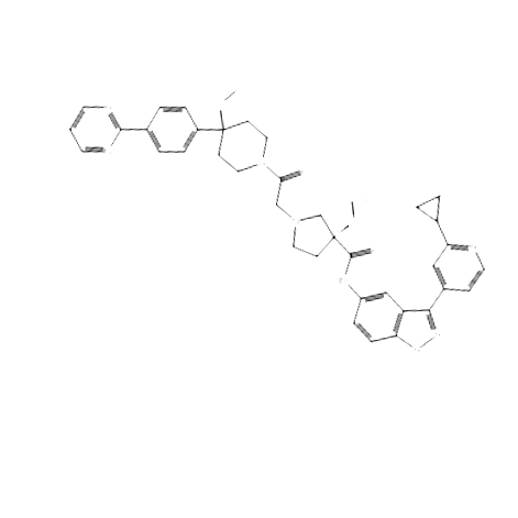 COC1(c2ccc(-c3ncccn3)cc2)CCN(C(=O)CN2CC[C@@](OC)(C(=O)Nc3ccc4[nH]nc(-c5ccnc(C6CC6)c5)c4c3)C2)CC1